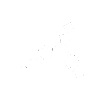 NS(=O)(=O)c1ccc(C2=CC3(C=C2c2ccc(C(F)(F)F)nc2)CCC3)cc1